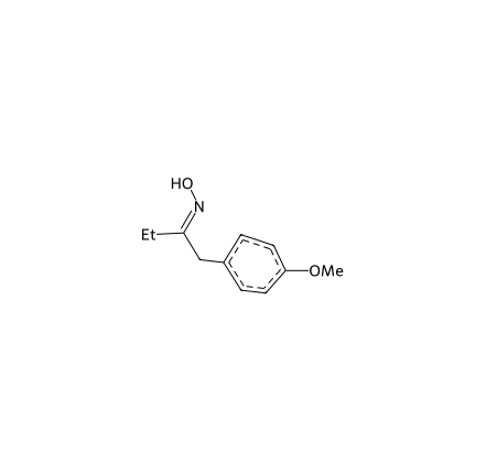 CCC(Cc1ccc(OC)cc1)=NO